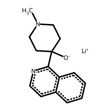 CN1CCC([O-])(c2nccc3ccccc23)CC1.[Li+]